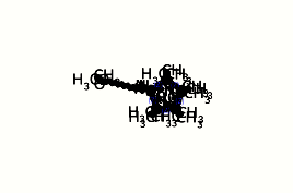 C#C/C1=C\c2cc(cc(C(C)(C)C)c2)/C(C#N)=C/c2cc(cc(C(C)(C)C)c2)/C(C#N)=C/c2cc(cc(-c3cn(CCCCCCCCCCCOC(=O)C(=C)C)nn3)c2)/C(C#N)=C/c2cc(cc(C(C)(C)C)c2)/C(C#N)=C/c2cc1cc(C(C)(C)C)c2